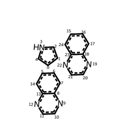 c1cc[nH]c1.c1ccc2nccnc2c1.c1ccc2nccnc2c1